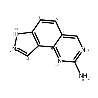 Nc1ncc2ccc3c(c2n1)C=N[IH]3